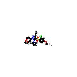 Cc1nn(C2CCOCC2)c(N2CCCC2C(=O)O)c1S(=O)(=O)c1ccc(OCC(F)(F)F)cc1Cl